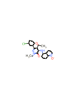 CCn1nc(-c2cccc(Cl)c2)c(C(C)=O)c(Nc2cccc3c2ccc[n+]3[O-])c1=O